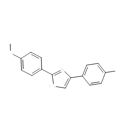 FC(F)(F)Oc1ccc(-c2nc(-c3ccc(Cl)cc3)c[nH]2)cc1